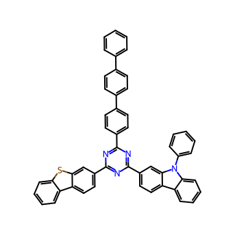 c1ccc(-c2ccc(-c3ccc(-c4nc(-c5ccc6c(c5)sc5ccccc56)nc(-c5ccc6c7ccccc7n(-c7ccccc7)c6c5)n4)cc3)cc2)cc1